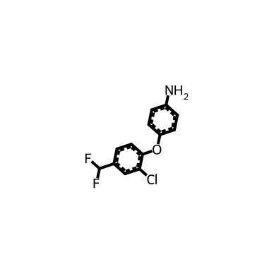 Nc1ccc(Oc2ccc(C(F)F)cc2Cl)cc1